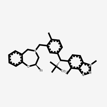 CC[C@@H]1CN(Cc2cc([C@H](c3ccc4c(nnn4C)c3C)C(C)(C)C(=O)O)ccc2C)Cc2ccccc2O1